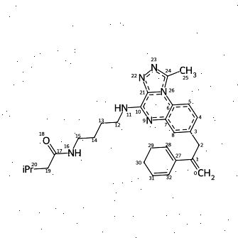 C=C(Cc1ccc2c(c1)nc(NCCCCNC(=O)CC(C)C)c1nnc(C)n12)C1=CCCC=C1